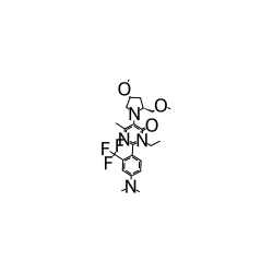 CCn1c(-c2ccc(N(C)C)cc2C(F)(F)F)nc(C)c(N2C[C@H](OC)C[C@H]2COC)c1=O